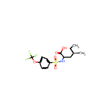 CCC(C)CC(NS(=O)(=O)c1ccc(OC(F)(F)F)cc1)C(=O)O